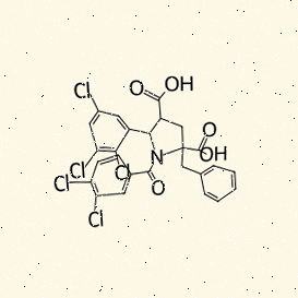 O=C(O)C1CC(Cc2ccccc2)(C(=O)O)N(C(=O)c2ccc(Cl)c(Cl)c2)C1c1cc(Cl)cc(Cl)c1Cl